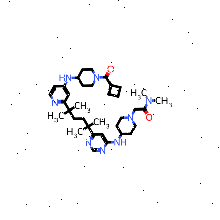 CN(C)C(=O)CN1CCC(Nc2cc(C(C)(C)CCC(C)(C)c3cc(NC4CCN(C(=O)C5CCC5)CC4)ccn3)ncn2)CC1